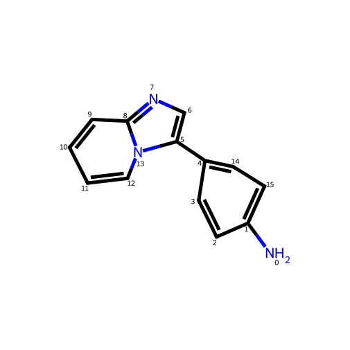 Nc1ccc(-c2cnc3ccccn23)cc1